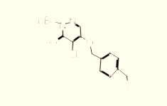 CCCCn1ncc(OCc2ccc(CI)cc2)c(Cl)c1=O